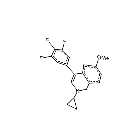 COc1ccc2c(c1)C(c1cc(F)c(F)c(F)c1)=CN(C1CC1)C2